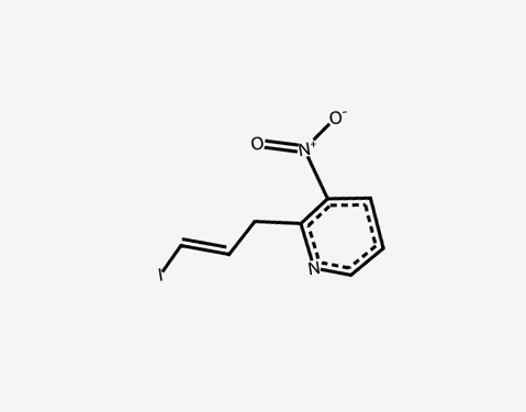 O=[N+]([O-])c1cccnc1CC=CI